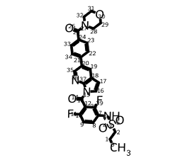 CCCS(=O)(=O)Nc1ccc(F)c(C(=O)n2ccc3cc(-c4ccc(C(=O)N5CCOCC5)cc4)cnc32)c1F